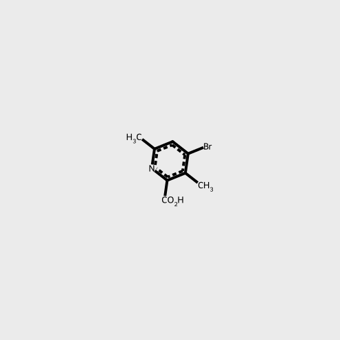 Cc1cc(Br)c(C)c(C(=O)O)n1